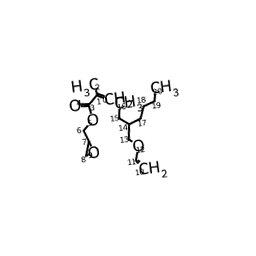 C=C(C)C(=O)OCC1CO1.C=COCC(CC)CCCC